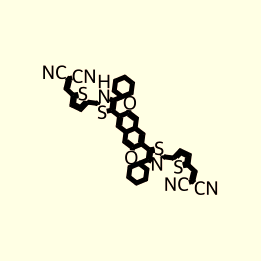 N#CC(C#N)=Cc1ccc(-c2nc3c(s2)C2=CC4C=C5OC6(CCCCC6)C6=C(SC(c7ccc(C=C(C#N)C#N)s7)N6)C5=CC4C=C2OC32CCCCC2)s1